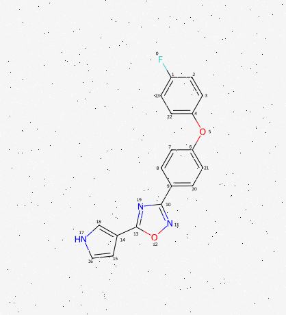 Fc1ccc(Oc2ccc(-c3noc(-c4cc[nH]c4)n3)cc2)cc1